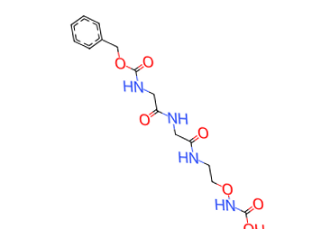 O=C(O)NOCCNC(=O)CNC(=O)CNC(=O)OCc1ccccc1